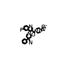 C[S+]([O-])N1CCN(C(=O)c2cnc3ccc(F)cc3c2N2CCC(C#N)(c3ccccc3)CC2)CC1